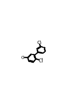 Clc1[c]ccc(-c2cc(Cl)ccc2Cl)c1